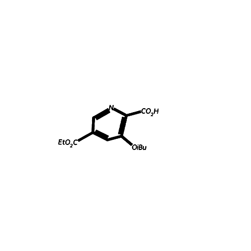 CCOC(=O)c1cnc(C(=O)O)c(OCC(C)C)c1